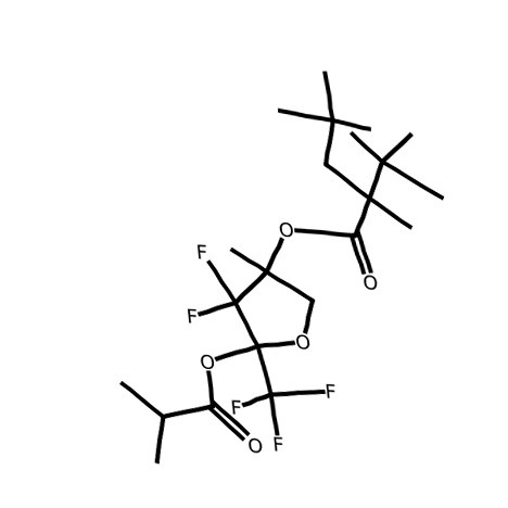 CC(C)C(=O)OC1(C(F)(F)F)OCC(C)(OC(=O)C(C)(CC(C)(C)C)C(C)(C)C)C1(F)F